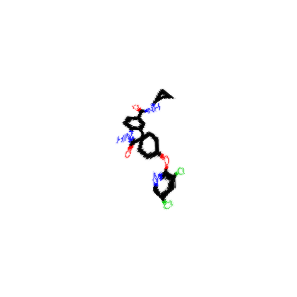 O=C(NC1CC1)c1ccc2c(c1)C1(CCC(Oc3ncc(Cl)cc3Cl)CC1)C(=O)N2